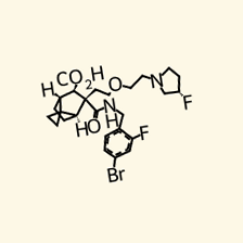 O=C(O)[C@@H]1[C@H]2CC[C@@H](C23CC3)[C@@]1(CCOCCN1CC[C@H](F)C1)C(=O)NCc1ccc(Br)cc1F